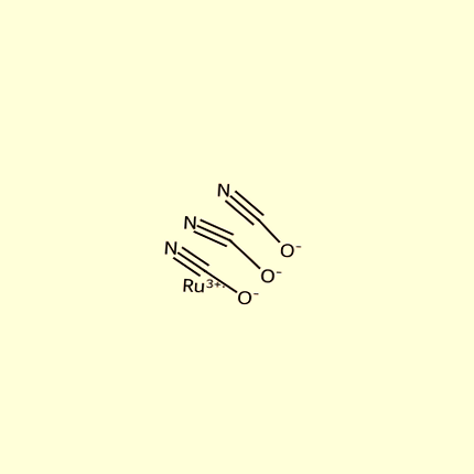 N#C[O-].N#C[O-].N#C[O-].[Ru+3]